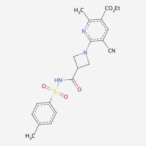 CCOC(=O)c1cc(C#N)c(N2CC(C(=O)NS(=O)(=O)c3ccc(C)cc3)C2)nc1C